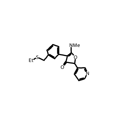 CCSCc1cccc(C2=C(NC)OC(c3cccnc3)C2=O)c1